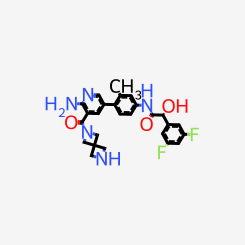 Cc1cc(NC(=O)[C@H](O)c2cc(F)cc(F)c2)ccc1-c1cnc(N)c(C(=O)N2CC3(CNC3)C2)c1